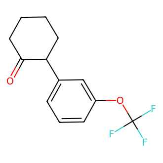 O=C1CCCCC1c1cccc(OC(F)(F)F)c1